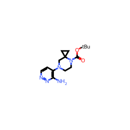 CC(C)(C)OC(=O)N1CCN(c2ccnnc2N)CC12CC2